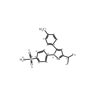 Cc1ccc(-c2cc(C(F)F)nn2-c2ccc(S(N)(=O)=O)cc2)cc1